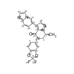 C[C@H]1CN(c2ccc3c(c2)OC(F)(F)O3)C(=O)c2c(-c3ccc4nccn4c3)cnn21